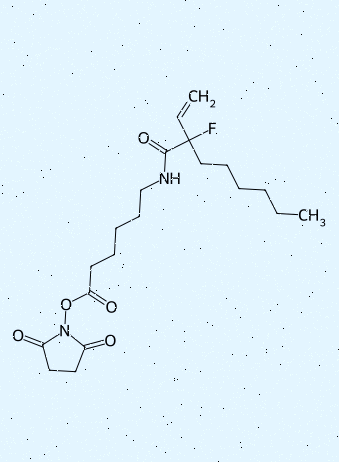 C=CC(F)(CCCCCC)C(=O)NCCCCCC(=O)ON1C(=O)CCC1=O